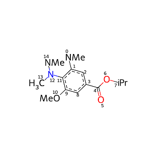 CNc1cc(C(=O)OC(C)C)cc(OC)c1N(C)NC